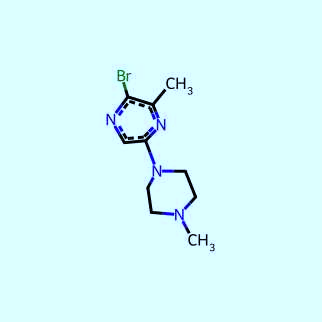 Cc1nc(N2CCN(C)CC2)cnc1Br